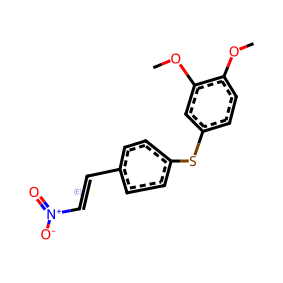 COc1ccc(Sc2ccc(/C=C/[N+](=O)[O-])cc2)cc1OC